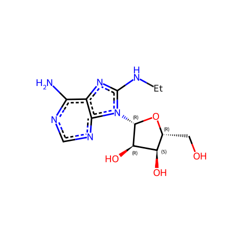 CCNc1nc2c(N)ncnc2n1[C@@H]1O[C@H](CO)[C@@H](O)[C@H]1O